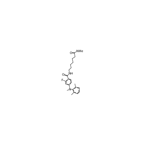 CNC(=O)CCCCCCNC(=O)c1ccc(N(C)c2c(C)cccc2C)cc1F